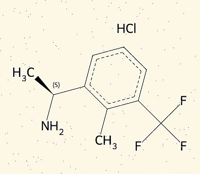 Cc1c([C@H](C)N)cccc1C(F)(F)F.Cl